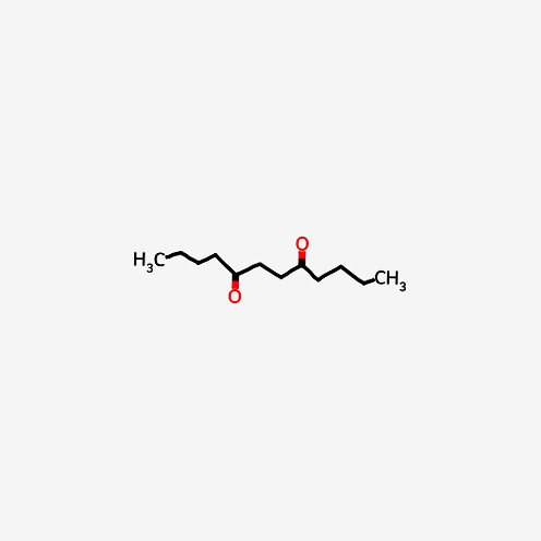 CCCCC(=O)CCC(=O)CCCC